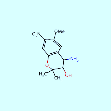 COc1cc2c(cc1[N+](=O)[O-])OC(C)(C)C(O)C2N